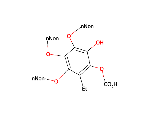 CCCCCCCCCOc1c(O)c(OC(=O)O)c(CC)c(OCCCCCCCCC)c1OCCCCCCCCC